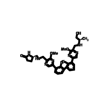 COc1nc(-c2cccc(-c3cccc(-c4cnc(CN[C@@H](C)CO)c(OC)n4)c3Cl)c2Cl)cnc1CNC[C@@H]1CCC(=O)N1